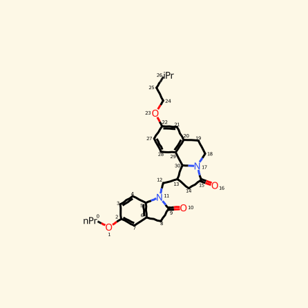 CCCOc1ccc2c(c1)CC(=O)N2CC1CC(=O)N2CCc3cc(OCCC(C)C)ccc3C12